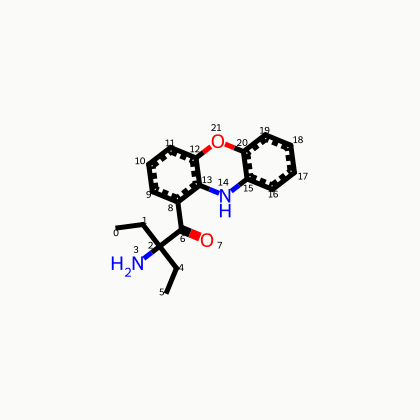 CCC(N)(CC)C(=O)c1cccc2c1Nc1ccccc1O2